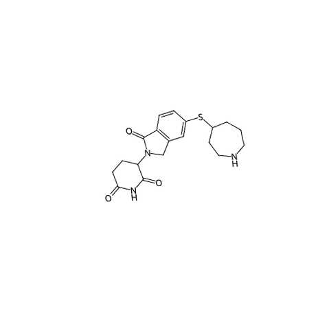 O=C1CCC(N2Cc3cc(SC4CCCNCC4)ccc3C2=O)C(=O)N1